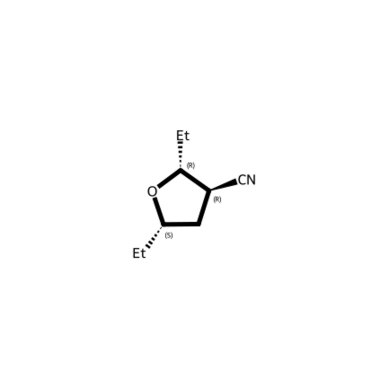 CC[C@H]1C[C@H](C#N)[C@@H](CC)O1